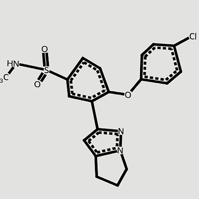 CNS(=O)(=O)c1ccc(Oc2ccc(Cl)cc2)c(-c2cc3n(n2)CCC3)c1